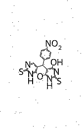 O=[N+]([O-])c1ccc(C2c3cnc(=S)[nH]c3Oc3[nH]c(=S)nc(O)c32)cc1